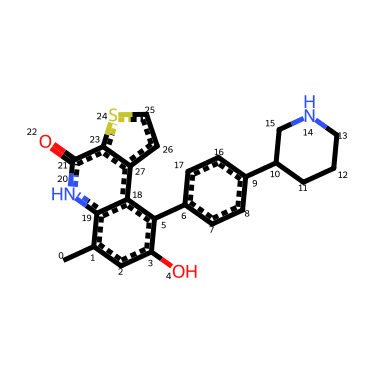 Cc1cc(O)c(-c2ccc(C3CCCNC3)cc2)c2c1[nH]c(=O)c1sccc12